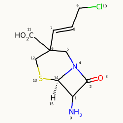 NC1C(=O)N2CC(C=CCCl)(C(=O)O)CS[C@H]12